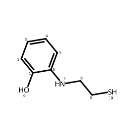 Oc1ccccc1NCCS